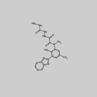 CCCCNC(=O)NNC(=O)C(=O)N(C)c1cc(C)cc(-n2nc3ccccc3n2)c1O